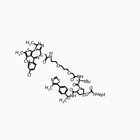 CCCCCCCC(=O)O[C@@H]1CC(C(=O)N[C@@H](C)c2ccc(-c3scnc3C)cc2)N(C(=O)[C@@H](NC(=O)COCCCOCCNC(=O)C[C@@H]2N=C(c3ccc(Cl)cc3)c3c(sc(C)c3C)-n3c(C)nnc32)C(C)(C)C)C1